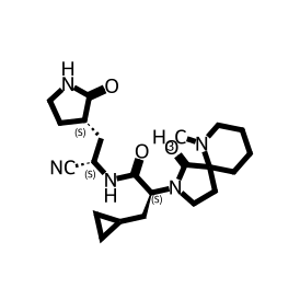 CN1CCCCC12CCN([C@@H](CC1CC1)C(=O)N[C@H](C#N)C[C@@H]1CCNC1=O)C2=O